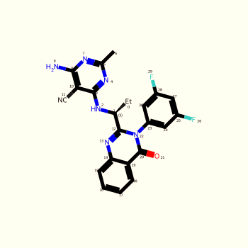 CC[C@H](Nc1nc(C)nc(N)c1C#N)c1nc2ccccc2c(=O)n1-c1cc(F)cc(F)c1